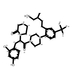 CC(CN)CCc1cc(C(F)(F)F)ccc1N1CCN(C(=O)C(Cc2ccc(Cl)cc2Cl)N2CCSCC2=O)CC1